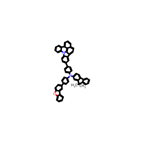 CC1(C)c2ccccc2-c2ccc(N(c3ccc(-c4ccc5oc6ccccc6c5c4)cc3)c3ccc(-c4ccc5c(c4)c4ccc6cccc7c8ccccc8n5c4c67)cc3)cc21